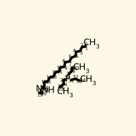 CCCCCCCCCCCCCCCCCc1ncc[nH]1.CCCCP(CCCC)CCCC